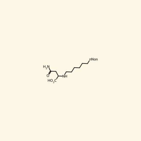 CCCCCCCCCCCCCCCNC(CC(N)=O)C(=O)O